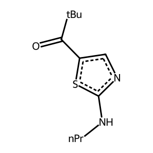 CCCNc1ncc(C(=O)C(C)(C)C)s1